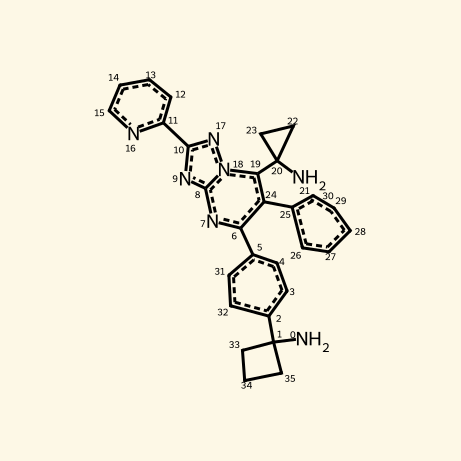 NC1(c2ccc(-c3nc4nc(-c5ccccn5)nn4c(C4(N)CC4)c3-c3ccccc3)cc2)CCC1